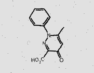 Cc1cc(=O)c(C(=O)O)nn1-c1ccccc1